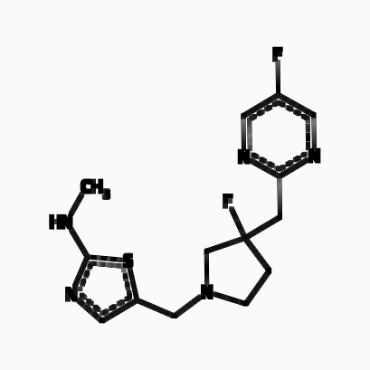 CNc1ncc(CN2CCC(F)(Cc3ncc(F)cn3)C2)s1